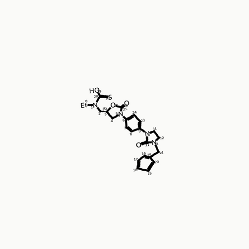 CCN(C[C@@H]1CN(c2ccc(N3CCN(Cc4ccccc4)C3=O)cc2)C(=O)O1)C(O)=S